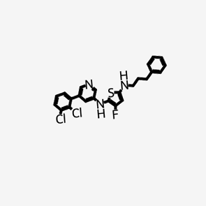 Fc1cc(NCCCc2ccccc2)sc1Nc1cncc(-c2cccc(Cl)c2Cl)c1